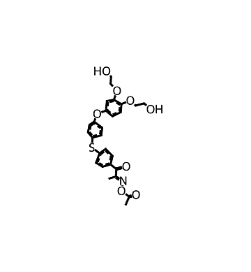 CC(=O)O/N=C(\C)C(=O)c1ccc(Sc2ccc(Oc3ccc(OCCO)c(OCCO)c3)cc2)cc1